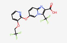 O=C(O)c1nc2ccc(Oc3ncccc3OCC(F)(F)F)cn2c1C(F)(F)F